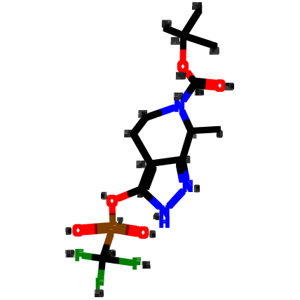 CC1c2n[nH]c(OS(=O)(=O)C(F)(F)F)c2CCN1C(=O)OC(C)(C)C